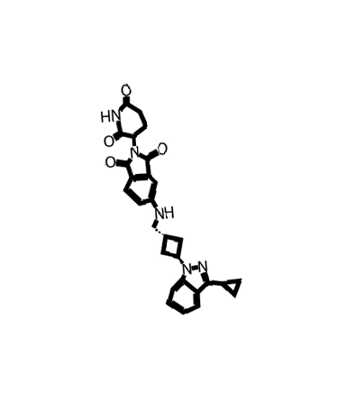 O=C1CCC(N2C(=O)c3ccc(NC[C@H]4C[C@H](n5nc(C6CC6)c6ccccc65)C4)cc3C2=O)C(=O)N1